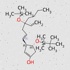 C=CC(C/C=C/[C@@H]1C=C(O)C[C@H]1O[Si](C)(C)C(C)(C)C)(CCCC)O[Si](C)(C)C